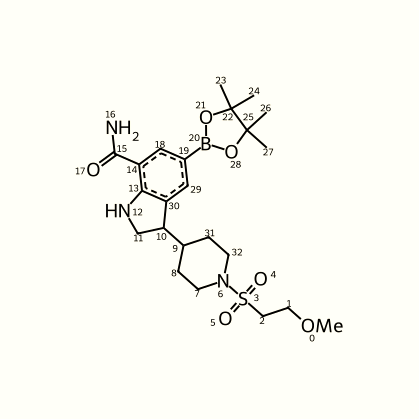 COCCS(=O)(=O)N1CCC(C2CNc3c(C(N)=O)cc(B4OC(C)(C)C(C)(C)O4)cc32)CC1